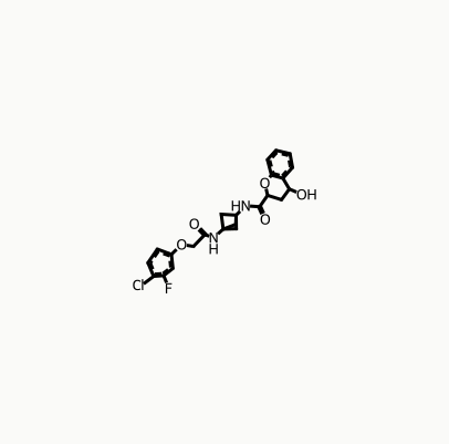 O=C(COc1ccc(Cl)c(F)c1)NC12CC(NC(=O)C3CC(O)c4ccccc4O3)(C1)C2